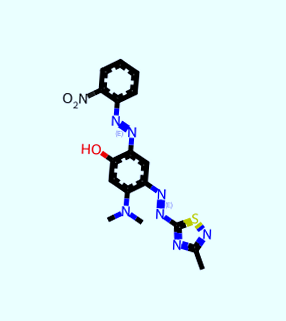 Cc1nsc(/N=N/c2cc(/N=N/c3ccccc3[N+](=O)[O-])c(O)cc2N(C)C)n1